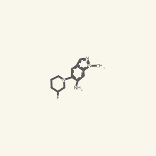 Cn1ncc2cc(N3CCCC(F)C3)c(N)cc21